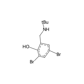 CC(C)(C)NCc1cc(Br)cc(Br)c1O